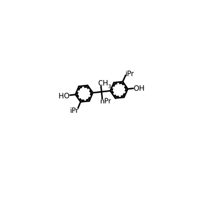 CCCC(C)(c1ccc(O)c(C(C)C)c1)c1ccc(O)c(C(C)C)c1